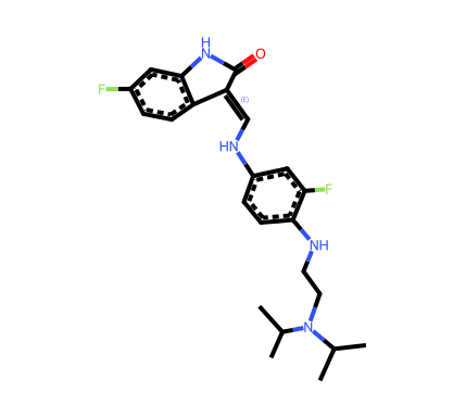 CC(C)N(CCNc1ccc(N/C=C2/C(=O)Nc3cc(F)ccc32)cc1F)C(C)C